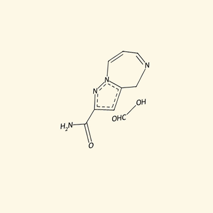 NC(=O)c1cc2n(n1)C=CC=NC2.O=CO